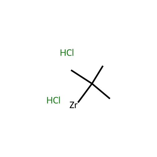 C[C](C)(C)[Zr].Cl.Cl